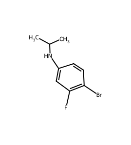 CC(C)Nc1ccc(Br)c(F)c1